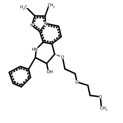 COCCOCCO[C@H]1c2ccn3c(C)c(C)nc3c2NC(c2ccccc2)C1O